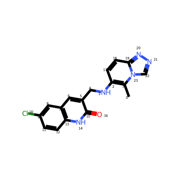 Cc1c(NCc2cc3cc(Cl)ccc3[nH]c2=O)ccc2nncn12